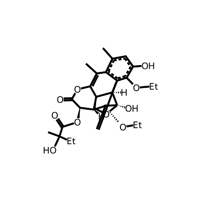 C=C1[C@@H](OCC)[C@]2(O)OC[C@@]34C(=C(C)c5c(C)cc(O)c(OCC)c5[C@@H]23)OC(=O)[C@H](OC(=O)C(C)(O)CC)[C@@H]14